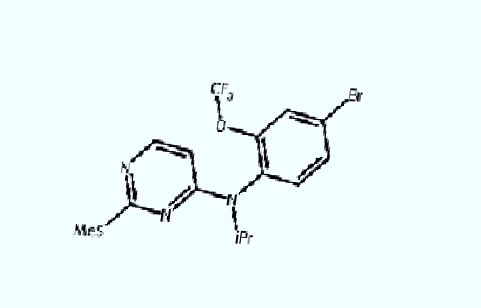 CSc1nccc(N(c2ccc(Br)cc2OC(F)(F)F)C(C)C)n1